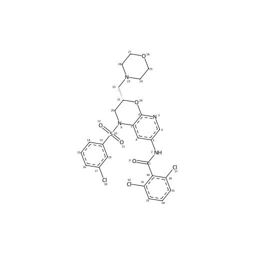 O=C(Nc1cnc2c(c1)N(S(=O)(=O)c1cccc(Cl)c1)C[C@H](CN1CCOCC1)O2)c1c(Cl)cccc1Cl